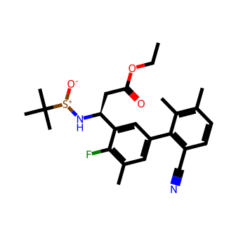 CCOC(=O)C[C@H](N[S+]([O-])C(C)(C)C)c1cc(-c2c(C#N)ccc(C)c2C)cc(C)c1F